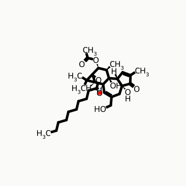 CCCCCCCCCC(=O)O[C@@]12[C@H](OC(C)=O)[C@@H](C)[C@@]3(O)[C@@H](C=C(CO)C[C@]4(O)C(=O)C(C)=C[C@@H]34)[C@H]1C2(C)C